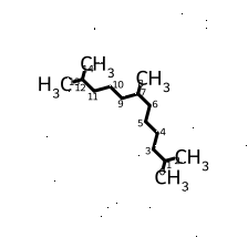 CC(C)CCCCC(C)CCCC(C)C